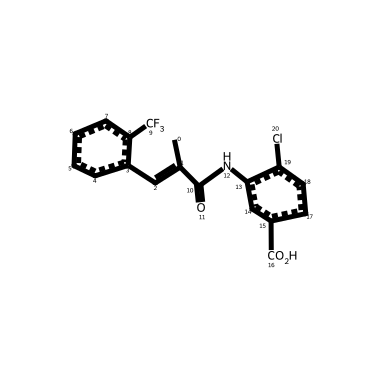 CC(=Cc1ccccc1C(F)(F)F)C(=O)Nc1cc(C(=O)O)ccc1Cl